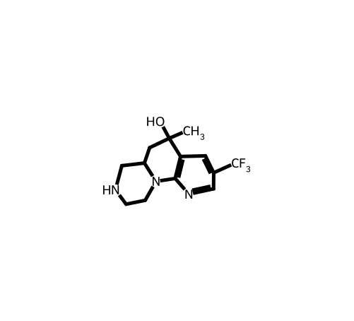 CC1(O)CC2CNCCN2c2ncc(C(F)(F)F)cc21